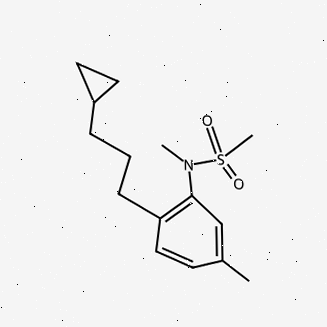 Cc1ccc(CCCC2CC2)c(N(C)S(C)(=O)=O)c1